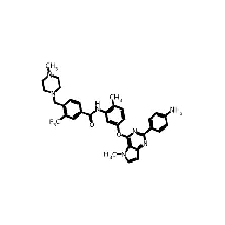 Cc1ccc(Oc2nc(-c3ccc(N)cc3)nc3ccn(C)c23)cc1NC(=O)c1ccc(CN2CCN(C)CC2)c(C(F)(F)F)c1